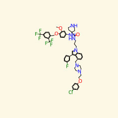 COc1cc(NC2(C(=O)NCCCn3cc(-c4cccc(F)c4)c4c(CN5CCN(CCOc6ccc(Cl)cc6)CC5)cccc43)CCNCC2)ccc1OCc1ccc(C(F)(F)F)cc1C(F)(F)F